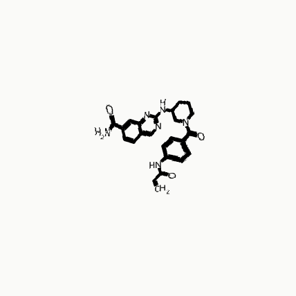 C=CC(=O)Nc1ccc(C(=O)N2CCCC(Nc3ncc4ccc(C(N)=O)cc4n3)C2)cc1